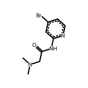 CN(C)CC(=O)Nc1cc(Br)ccn1